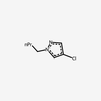 CCCCn1[c]c(Cl)cn1